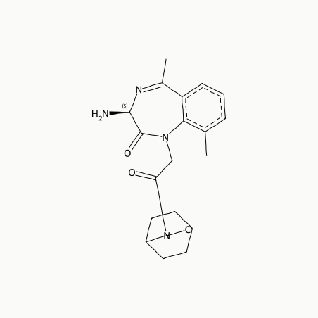 CC1=N[C@H](N)C(=O)N(CC(=O)N2CC3CCC(CC3)C2)c2c(C)cccc21